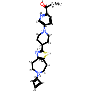 CNC(=O)c1ccc(N2CCC(c3nc4c(s3)CCN(C3=CC=C3)CC4)CC2)cn1